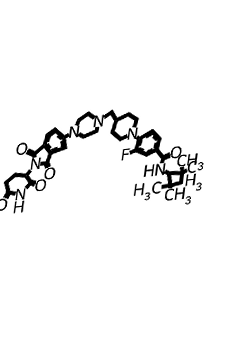 CC1(C)CC(C)(C)C1NC(=O)c1ccc(N2CCC(CN3CCN(c4ccc5c(c4)C(=O)N(C4CCC(=O)NC4=O)C5=O)CC3)CC2)c(F)c1